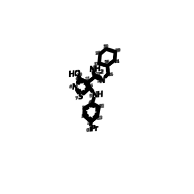 CC(C)c1ccc(Nc2snc(O)c2C(N)=NCC2CCCCC2)cc1